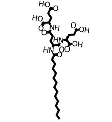 CCCCCCCCCCCCCCC(=O)NC(CCC(=O)NC(CCC(=O)O)C(=O)O)C(=O)NC(CCC(=O)O)C(=O)O